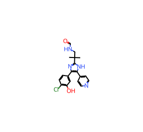 CC(C)(CNC=O)c1nc(-c2ccc(Cl)c(O)c2)c(-c2ccncc2)[nH]1